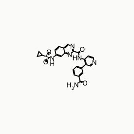 NC(=O)c1cccc(-c2cnccc2NC(=O)c2ncc3ccc(NS(=O)(=O)C4CC4)cc3n2)c1